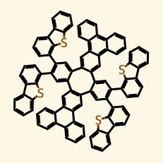 c1ccc2c(c1)sc1c(-c3cc4c(cc3-c3cccc5c3sc3ccccc35)-c3cc5c6ccccc6c6ccccc6c5cc3-c3cc(-c5cccc6c5sc5ccccc56)c(-c5cccc6c5sc5ccccc56)cc3-c3cc5c6ccccc6c6ccccc6c5cc3-4)cccc12